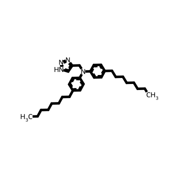 CCCCCCCCc1ccc(N(Cc2c[nH]nn2)c2ccc(CCCCCCCC)cc2)cc1